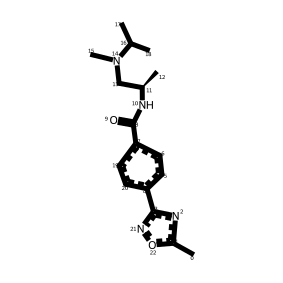 Cc1nc(-c2ccc(C(=O)N[C@H](C)CN(C)C(C)C)cc2)no1